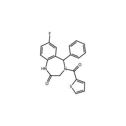 O=C1CN(C(=O)c2cccs2)C(c2ccccc2)c2cc(F)ccc2N1